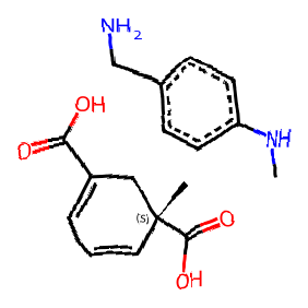 CNc1ccc(CN)cc1.C[C@@]1(C(=O)O)C=CC=C(C(=O)O)C1